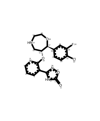 O=c1[nH]c(-c2cccnc2O[C@@H]2CNCCO[C@H]2c2ccc(Cl)c(F)c2)no1